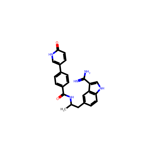 CC(Cc1ccc2[nH]cc(C(=N)N)c2c1)NC(=O)c1ccc(-c2ccc(=O)[nH]c2)cc1